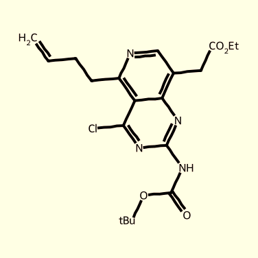 C=CCCc1ncc(CC(=O)OCC)c2nc(NC(=O)OC(C)(C)C)nc(Cl)c12